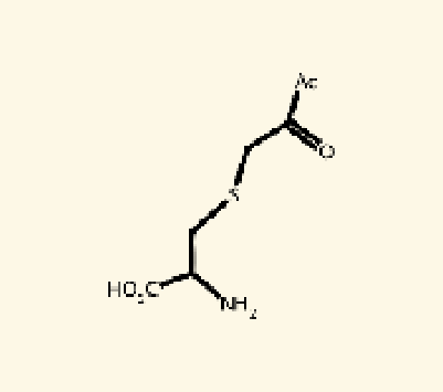 CC(=O)C(=O)CSCC(N)C(=O)O